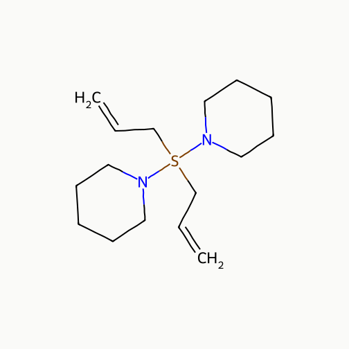 C=CCS(CC=C)(N1CCCCC1)N1CCCCC1